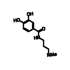 CNCCCNC(=O)c1ccc(O)c(O)c1